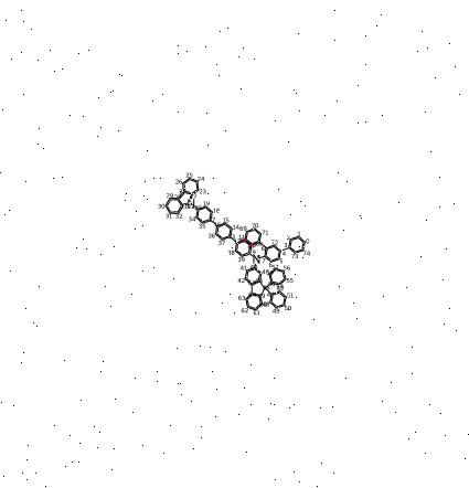 c1ccc(-c2ccc(N(c3ccc(-c4ccc(-c5ccc(-n6c7ccccc7c7ccccc76)cc5)cc4)cc3)c3ccc4c(c3)C(c3ccccc3)(c3ccccc3)c3ccccc3-4)c(-c3ccccc3)c2)cc1